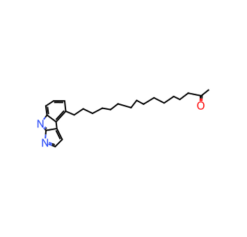 CC(=O)CCCCCCCCCCCCCCc1cccc2c1C1=CC=NC1=N2